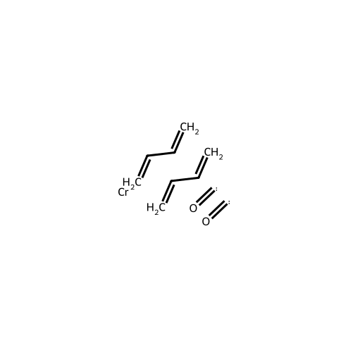 C=CC=C.C=CC=C.[C]=O.[C]=O.[Cr]